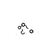 Cc1ccc(OCCCc2cc(Cl)cc(C3CCCC3)c2OCC2CC(O)CC(=O)O2)cc1